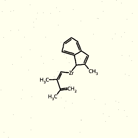 C=C(C)C(C)=[CH][Zr][CH]1C(C)=Cc2ccccc21